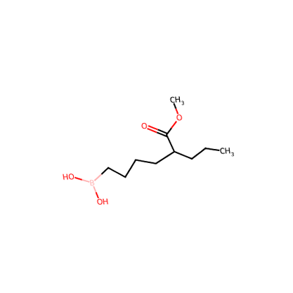 CCCC(CCCCB(O)O)C(=O)OC